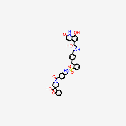 O=C(c1ccc(CNS(=O)(=O)c2ccccc2Cc2ccc(CNC[C@H](O)c3ccc(O)c4[nH]c(=O)ccc34)cc2)cc1)N1CCC(C(=O)O)(c2ccccc2)CC1